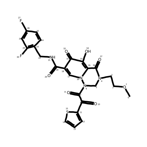 COCCN1CN(C(=O)C(=O)c2cccs2)n2cc(C(=O)NCc3ccc(F)cc3F)c(=O)c(O)c2C1=O